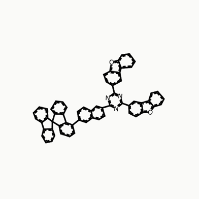 c1ccc2c(c1)-c1ccccc1C21c2ccccc2-c2c(-c3ccc4cc(-c5nc(-c6ccc7oc8ccccc8c7c6)nc(-c6ccc7oc8ccccc8c7c6)n5)ccc4c3)cccc21